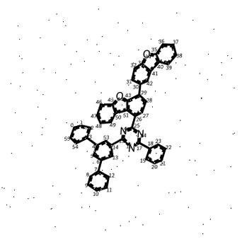 c1ccc(-c2cc(-c3ccccc3)cc(-c3nc(-c4ccccc4)nc(-c4ccc(-c5ccc6oc7ccccc7c6c5)c5oc6ccccc6c45)n3)c2)cc1